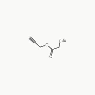 C#CCOC(=O)CCC[CH]C